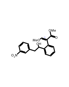 CO/C=C(/C(=O)OC)c1ccccc1C(O)Cc1cccc([N+](=O)[O-])c1